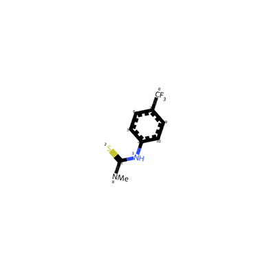 CNC(=S)Nc1ccc(C(F)(F)F)cc1